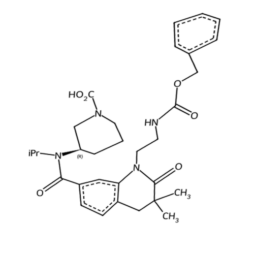 CC(C)N(C(=O)c1ccc2c(c1)N(CCNC(=O)OCc1ccccc1)C(=O)C(C)(C)C2)[C@@H]1CCCN(C(=O)O)C1